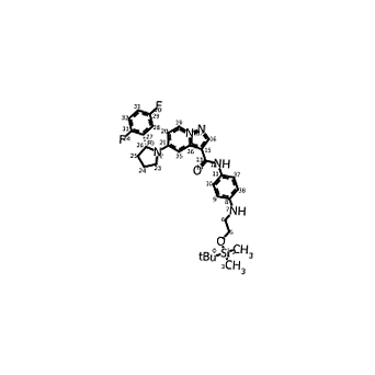 CC(C)(C)[Si](C)(C)OCCNc1ccc(NC(=O)c2cnn3ccc(N4CCC[C@@H]4c4cc(F)ccc4F)cc23)cc1